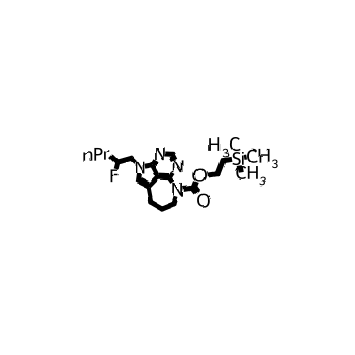 CCCC(F)Cn1cc2c3c(ncnc31)N(C(=O)OCC[Si](C)(C)C)CCC2